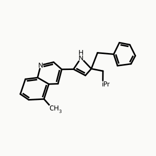 Cc1cccc2ncc(C3=CC(Cc4ccccc4)(CC(C)C)N3)cc12